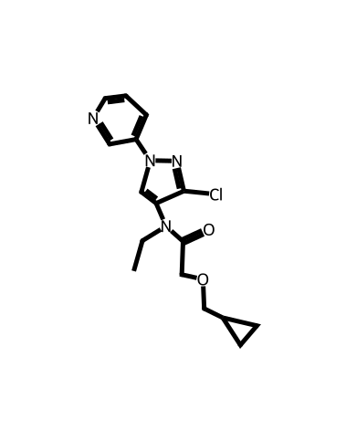 CCN(C(=O)COCC1CC1)c1cn(-c2cccnc2)nc1Cl